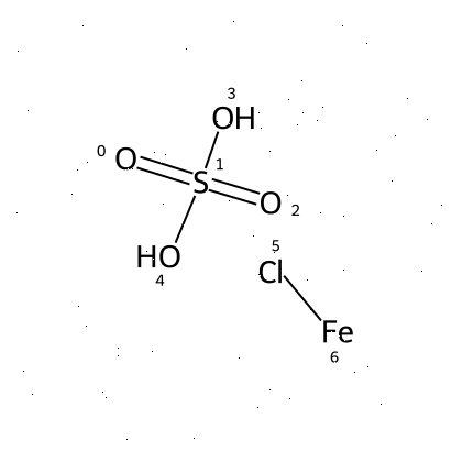 O=S(=O)(O)O.[Cl][Fe]